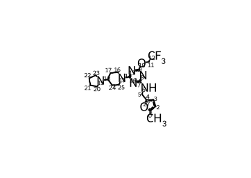 Cc1ccc(CNc2nc(OCC(F)(F)F)nc(N3CCC(N4CCCC4)CC3)n2)o1